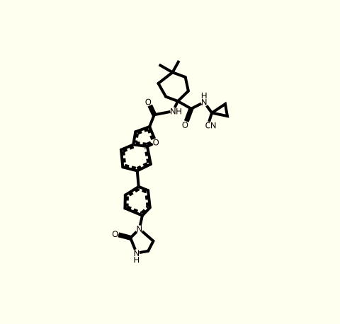 CC1(C)CCC(NC(=O)c2cc3ccc(-c4ccc(N5CCNC5=O)cc4)cc3o2)(C(=O)NC2(C#N)CC2)CC1